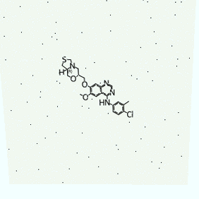 COc1cc2c(Nc3ccc(Cl)c(C)c3)ncnc2cc1OCC1CN2CSC[C@H]2CO1